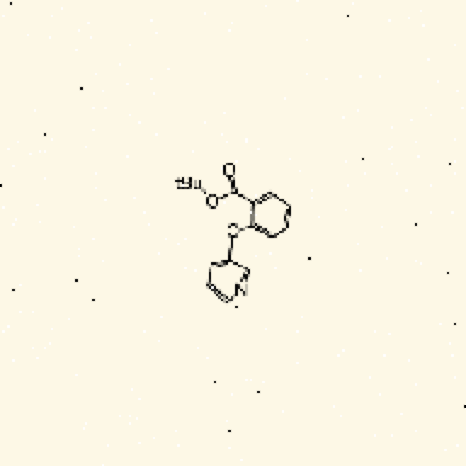 CC(C)(C)OC(=O)c1ccccc1Oc1cccnc1